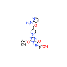 C[C@H](CO)NC(=O)c1nc(OCC2(C#N)CC2)nc(N2CCC(COc3cccnc3N)CC2)n1